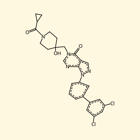 O=C(C1CC1)N1CCC(O)(Cn2cnc3c(cnn3-c3cccc(-c4cc(Cl)cc(Cl)c4)c3)c2=O)CC1